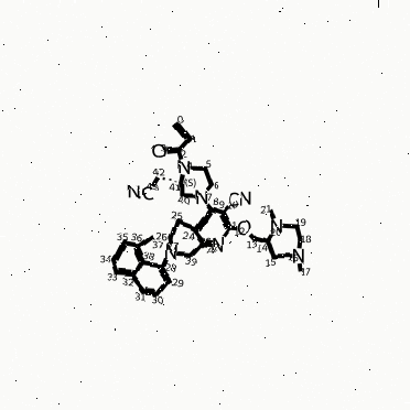 C=CC(=O)N1CCN(c2c(C#N)c(OCC3CN(C)CCN3C)nc3c2CCN(c2cccc4cccc(C)c24)C3)C[C@@H]1CC#N